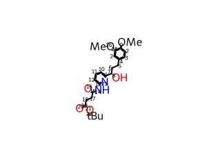 COc1ccc(CCC(O)c2cccc(NC(=O)CCC(=O)OC(C)(C)C)n2)cc1OC